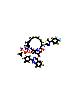 O=C1N[C@]2(C(=O)NS(=O)(=O)C3CC3)C[C@H]2/C=C\CCCCC[C@H](NC2=NC(c3ccc(F)cc3)CS2)C(=O)N2C[C@H](Oc3nc(-c4ccccc4)nc4ccccc34)C[C@@H]12